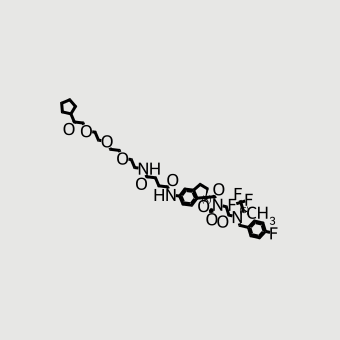 C[C@H](N(Cc1ccc(F)cc1)C(=O)CN1C(=O)O[C@@]2(CCc3cc(NC(=O)CCC(=O)NCCOCCOCCOCC(=O)C4CCCC4)ccc32)C1=O)C(F)(F)F